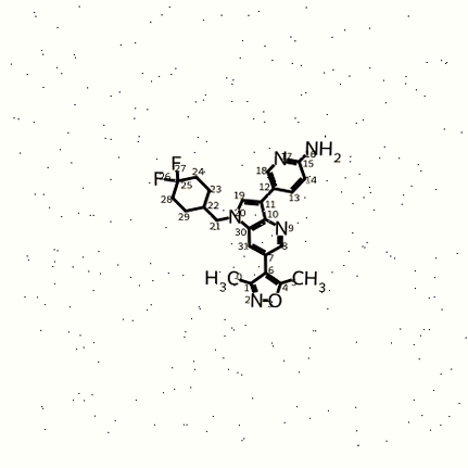 Cc1noc(C)c1-c1cnc2c(-c3ccc(N)nc3)cn(CC3CCC(F)(F)CC3)c2c1